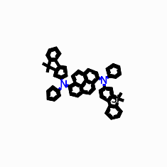 CC1(C)c2ccccc2-c2ccc(N(c3ccccc3)c3ccc4ccc5c(N(c6ccccc6)c6ccc7c(c6)[Si](C)(C)c6ccccc6-7)ccc6ccc3c4c65)cc21